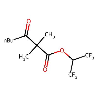 CCCCC(=O)C(C)(C)C(=O)OC(C(F)(F)F)C(F)(F)F